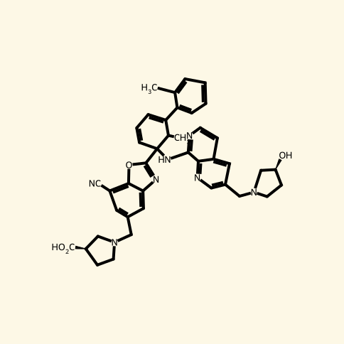 Cc1ccccc1C1=CC=CC(Nc2nccc3cc(CN4CC[C@H](O)C4)cnc23)(c2nc3cc(CN4CC[C@@H](C(=O)O)C4)cc(C#N)c3o2)C1C